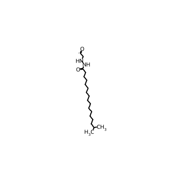 CC(C)CCCCCCCCCCCCCCC(=O)NNC[C]=O